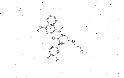 COCCOCCN(C(=O)Nc1ccc(F)c(Cl)c1)[C@H](C)c1cnc(OC)c2ccccc12